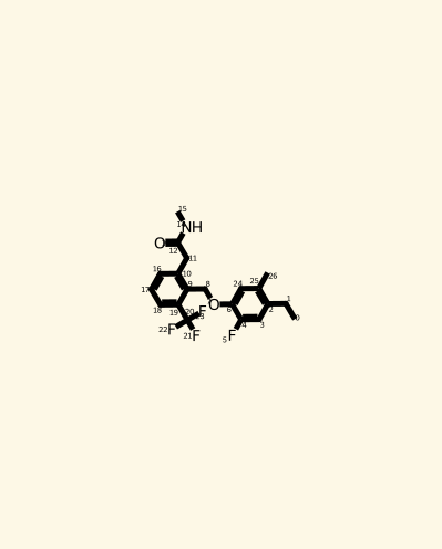 CCc1cc(F)c(OCc2c(CC(=O)NC)cccc2C(F)(F)F)cc1C